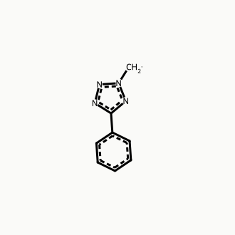 [CH2]n1nnc(-c2ccccc2)n1